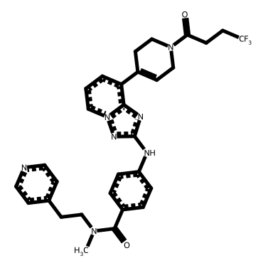 CN(CCc1ccncc1)C(=O)c1ccc(Nc2nc3c(C4=CCN(C(=O)CCC(F)(F)F)CC4)cccn3n2)cc1